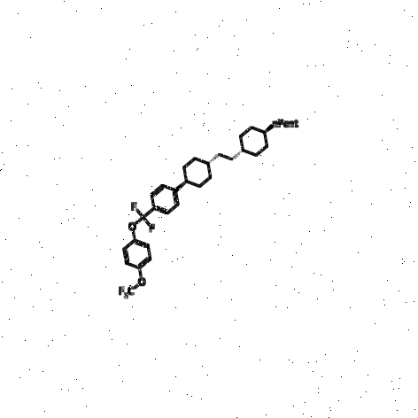 CCCCC[C@H]1CC[C@H](CC[C@H]2CC[C@H](c3ccc(C(F)(F)Oc4ccc(OC(F)(F)F)cc4)cc3)CC2)CC1